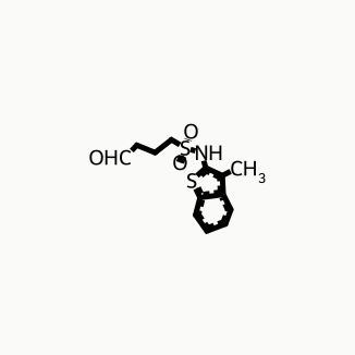 Cc1c(NS(=O)(=O)CCCC=O)sc2ccccc12